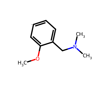 COc1c[c]ccc1CN(C)C